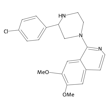 COc1cc2ccnc(N3CCNC(c4ccc(Cl)cc4)C3)c2cc1OC